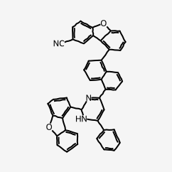 N#Cc1ccc2oc3cccc(-c4cccc5c(C6=NC(c7cccc8oc9ccccc9c78)NC(c7ccccc7)=C6)cccc45)c3c2c1